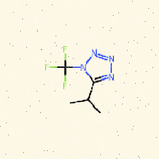 CC(C)c1nnnn1C(F)(F)F